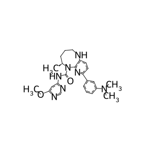 COc1cc(NC(=O)N2c3nc(-c4cccc(N(C)C)c4)ccc3NCCC[C@@H]2C)ncn1